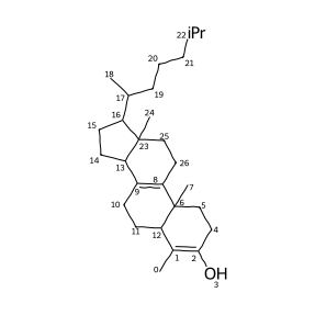 CC1=C(O)CCC2(C)C3=C(CCC12)C1CCC(C(C)CCCC(C)C)C1(C)CC3